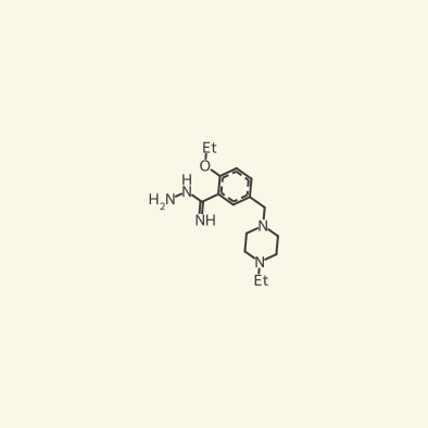 CCOc1ccc(CN2CCN(CC)CC2)cc1C(=N)NN